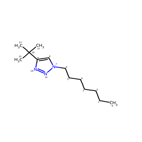 CCCCCCCn1cc(C(C)(C)C)nn1